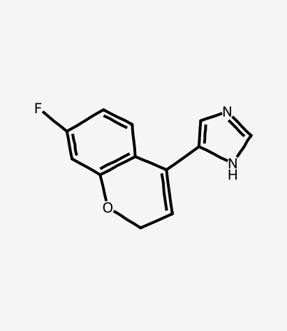 Fc1ccc2c(c1)OCC=C2c1cnc[nH]1